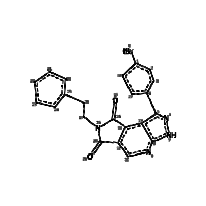 CC(C)(C)c1ccc(-c2n[nH]c3ncc4c(c23)C(=O)N(CCc2ccccc2)C4=O)cc1